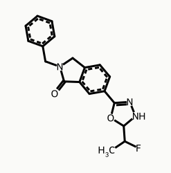 CC(F)C1NN=C(c2ccc3c(c2)C(=O)N(Cc2ccccc2)C3)O1